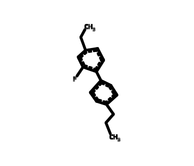 CCCc1ccc(-c2ccc(CC)cc2F)cc1